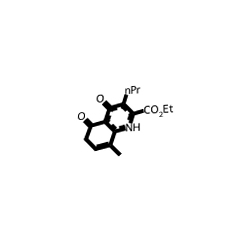 CCCc1c(C(=O)OCC)[nH]c2c(c1=O)C(=O)CC=C2C